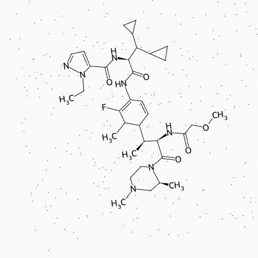 CCn1nccc1C(=O)N[C@H](C(=O)NC1=C(F)C(C)C([C@H](C)[C@@H](NC(=O)COC)C(=O)N2CCN(C)C[C@@H]2C)C=C1)C(C1CC1)C1CC1